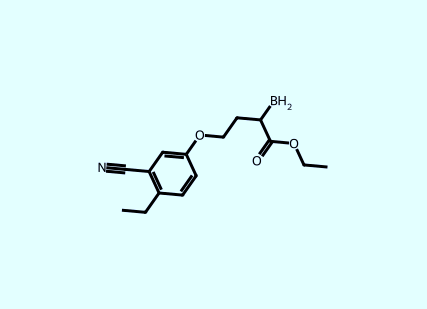 BC(CCOc1ccc(CC)c(C#N)c1)C(=O)OCC